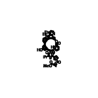 CCc1ccncc1-c1c2c3cc(ccc3n1CC)-c1cc(O)cc(c1)C[C@H](NC(=O)[C@H](C(C)C)N(C)C(=O)[C@H]1CCN(C(=O)N3C[C@H]3C(=O)OC)C1)C(=O)N1CCC[C@H](N1)C(=O)OCC(C)(C)C2